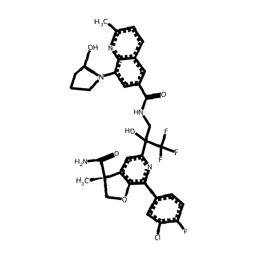 Cc1ccc2cc(C(=O)NCC(O)(c3cc4c(c(-c5ccc(F)c(Cl)c5)n3)OC[C@]4(C)C(N)=O)C(F)(F)F)cc(N3CCCC3O)c2n1